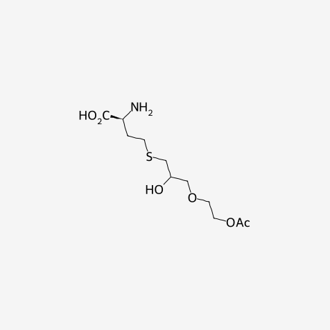 CC(=O)OCCOCC(O)CSCC[C@H](N)C(=O)O